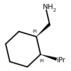 CC(C)[C@H]1CCCC[C@H]1CN